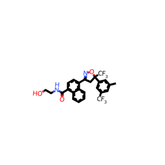 Cc1cc(C(F)(F)F)cc(C2(C(F)(F)F)CC(c3ccc(C(=O)NCCO)c4ccccc34)=NO2)c1